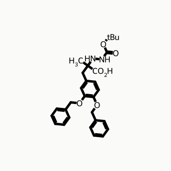 CC(C)(C)OC(=O)NNC(C)(Cc1ccc(OCc2ccccc2)c(OCc2ccccc2)c1)C(=O)O